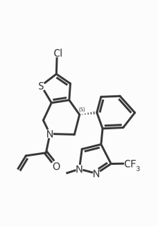 C=CC(=O)N1Cc2sc(Cl)cc2[C@H](c2ccccc2-c2cn(C)nc2C(F)(F)F)C1